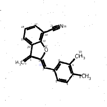 C=c1/c(=C/c2ccc(C)c(C)c2)oc2c(C#N)cccc12